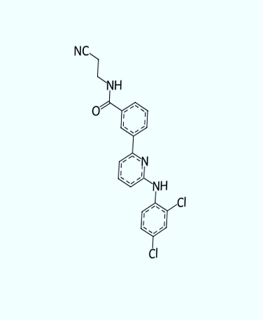 N#CCCNC(=O)c1cccc(-c2cccc(Nc3ccc(Cl)cc3Cl)n2)c1